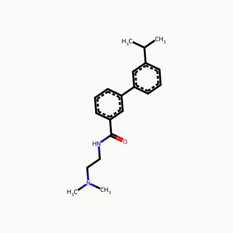 CC(C)c1cccc(-c2cccc(C(=O)NCCN(C)C)c2)c1